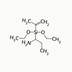 C=C(C)[Si](OCC)(OCC)C(N)CC